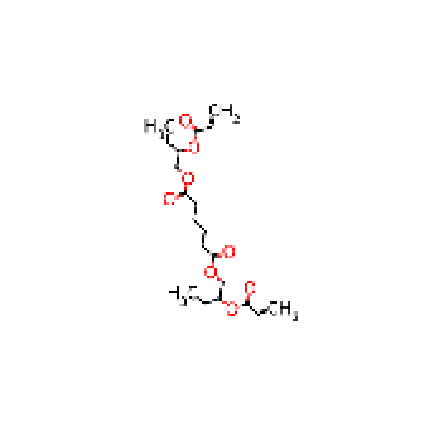 C=CC(=O)OC(CC)COC(=O)CCCCC(=O)OCC(CC)OC(=O)C=C